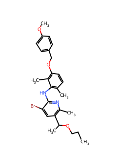 CCCOC(C)c1cc(Br)c(Nc2c(C)ccc(OCc3ccc(OC)cc3)c2C)nc1C